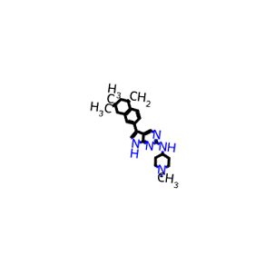 C=C1CC(C)(C)Cc2cc(-c3c[nH]c4nc(NC5CCN(C)CC5)ncc34)ccc21